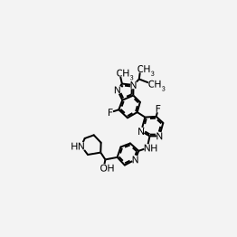 Cc1nc2c(F)cc(-c3nc(Nc4ccc(C(O)C5CCCNC5)cn4)ncc3F)cc2n1C(C)C